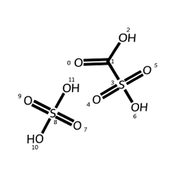 O=C(O)S(=O)(=O)O.O=S(=O)(O)O